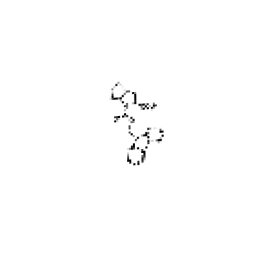 O=C(O)C1CC2CC=CC2N1C(=O)OCC1c2ccccc2-c2ccccc21